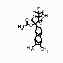 CC(=O)OC1(C2CC3CC2C2C4CC(C(C)C4C)C32)COC(O)(C(F)(F)F)C1(F)F